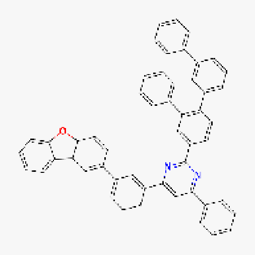 C1=CC2Oc3ccccc3C2C=C1C1=CCCC(c2cc(-c3ccccc3)nc(-c3ccc(-c4cccc(-c5ccccc5)c4)c(-c4ccccc4)c3)n2)=C1